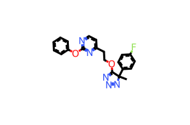 CC1(c2ccc(F)cc2)N=NN=C1OCCc1ccnc(Oc2ccccc2)n1